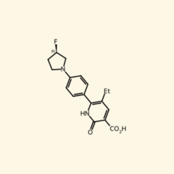 CCc1cc(C(=O)O)c(=O)[nH]c1-c1ccc(N2CC[C@@H](F)C2)cc1